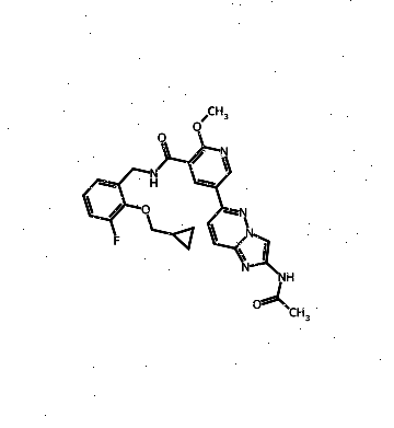 COc1ncc(-c2ccc3nc(NC(C)=O)cn3n2)cc1C(=O)NCc1cccc(F)c1OCC1CC1